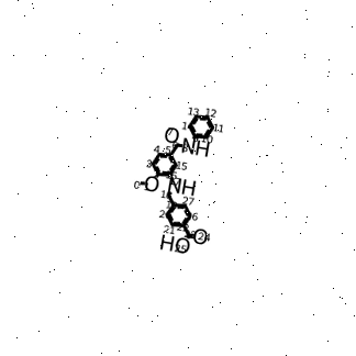 COc1ccc(C(=O)Nc2ccccc2)cc1NCc1ccc(C(=O)O)cc1